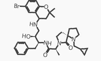 C[C@@H](C(=O)N[C@@H](Cc1ccccc1)[C@@H](O)CNC1CC(C)(C)Oc2ccc(Br)cc21)N1CC[C@@]2(CCCN2CC2CC2)C1=O